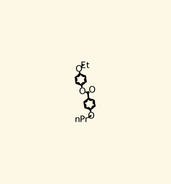 CCCOc1ccc(C(=O)Oc2ccc(OCC)cc2)cc1